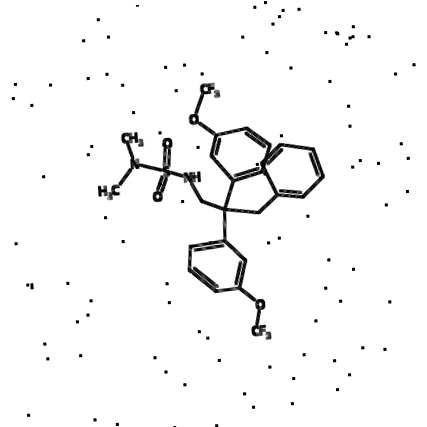 CN(C)S(=O)(=O)NCC(Cc1ccccc1)(c1cccc(OC(F)(F)F)c1)c1cccc(OC(F)(F)F)c1